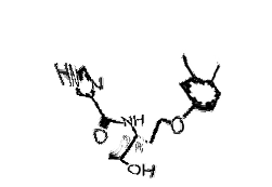 Cc1ccc(OCC[C@@H](NC(=O)c2c[nH]cn2)[C@H](C)O)cc1C